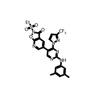 CCS(=O)(=O)n1oc2ncc(-c3cnc(Nc4cc(C)cc(C)c4)nc3-n3ccc(C(F)(F)F)n3)cc2c1=O